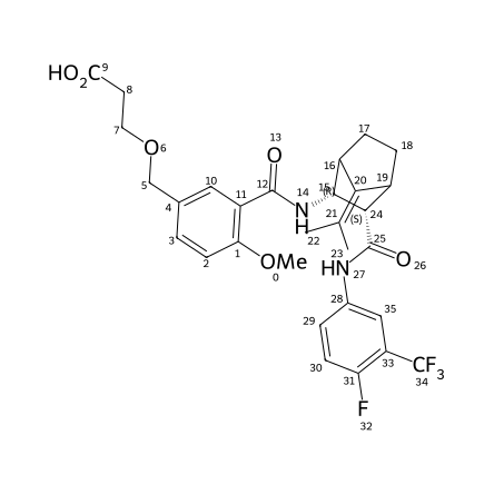 COc1ccc(COCCC(=O)O)cc1C(=O)N[C@@H]1C2CCC(C2=C(C)C)[C@@H]1C(=O)Nc1ccc(F)c(C(F)(F)F)c1